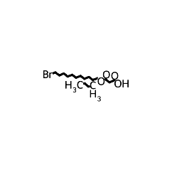 CCCC.O=C(O)CC(=O)OCCCCCCCCCCCBr